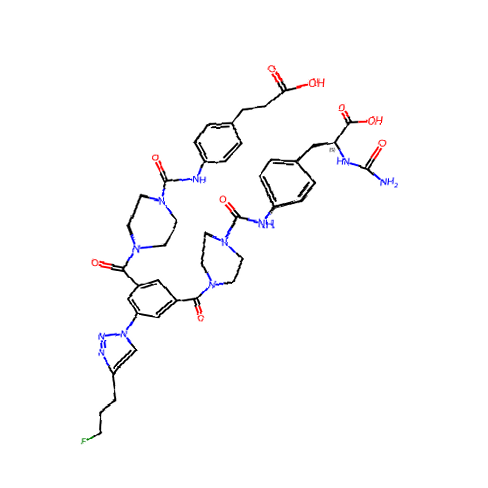 NC(=O)N[C@@H](Cc1ccc(NC(=O)N2CCN(C(=O)c3cc(C(=O)N4CCN(C(=O)Nc5ccc(CCC(=O)O)cc5)CC4)cc(-n4cc(CCCF)nn4)c3)CC2)cc1)C(=O)O